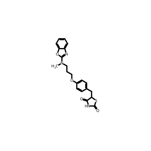 CN(CCCOc1ccc(CC2SC(=O)NC2=O)cc1)c1nc2ccccc2o1